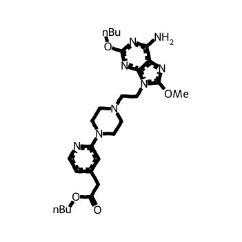 CCCCOC(=O)Cc1ccnc(N2CCN(CCn3c(OC)nc4c(N)nc(OCCCC)nc43)CC2)c1